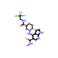 CNC(=O)c1cnc2[nH]ccc2c1NN1CCC[C@H](C(=O)NCC(F)(F)F)C1